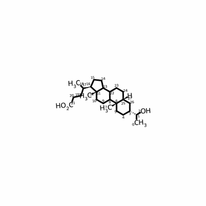 CC(O)[C@@H]1CC[C@]2(C)C3CC[C@@]4(C)C(CC[C@@H]4C(C)CCC(=O)O)C3CC[C@@H]2C1